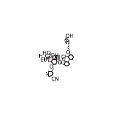 CCN(Cc1cc(Cl)c(OCc2cccc(-c3cccc(OCCCN4CC[C@@H](O)C4)c3Cl)c2C)cc1OCc1cncc(C#N)c1)[C@](C)(CO)C(O)O